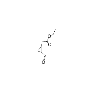 CCOC(=O)CC1CC1C=O